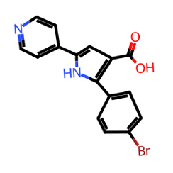 O=C(O)c1cc(-c2ccncc2)[nH]c1-c1ccc(Br)cc1